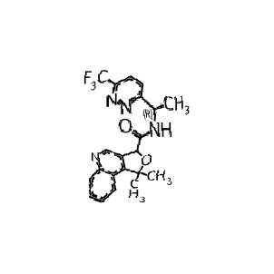 C[C@@H](NC(=O)C1OC(C)(C)c2c1cnc1ccccc21)c1ccc(C(F)(F)F)nn1